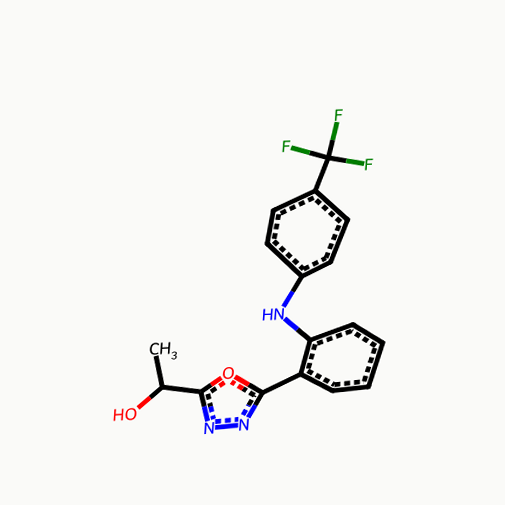 CC(O)c1nnc(-c2ccccc2Nc2ccc(C(F)(F)F)cc2)o1